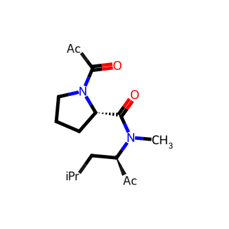 CC(=O)C(=O)N1CCC[C@H]1C(=O)N(C)[C@H](CC(C)C)C(C)=O